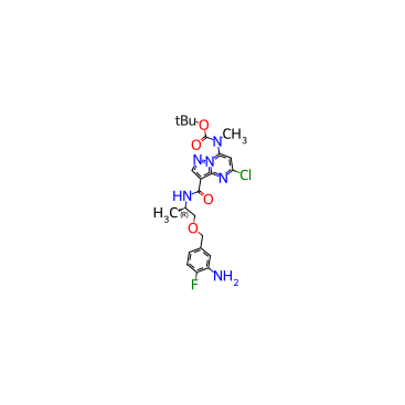 C[C@H](COCc1ccc(F)c(N)c1)NC(=O)c1cnn2c(N(C)C(=O)OC(C)(C)C)cc(Cl)nc12